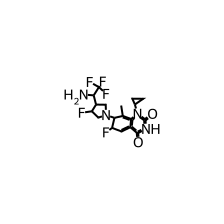 CC1=c2c(c(=O)[nH]c(=O)n2C2CC2)=CC(F)C1N1CC(F)C(C(N)C(F)(F)F)C1